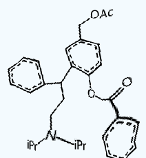 CC(=O)OCc1ccc(OC(=O)c2ccccc2)c(C(CCN(C(C)C)C(C)C)c2ccccc2)c1